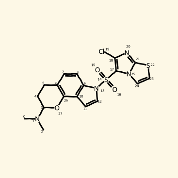 CN(C)C1CCc2ccc3c(ccn3S(=O)(=O)c3c(Cl)nc4sccn34)c2O1